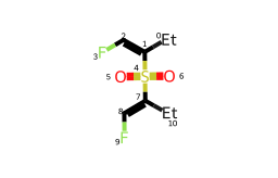 CCC(=CF)S(=O)(=O)C(=CF)CC